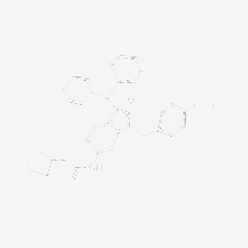 COc1cc(C(=O)O)ccc1Cc1cn(C(c2ccccc2)c2ccccc2)c2ccc(NC(=O)OC3CCCC3)cc12